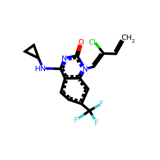 C=C/C(Cl)=C/n1c(=O)nc(NC2CC2)c2ccc(C(F)(F)F)cc21